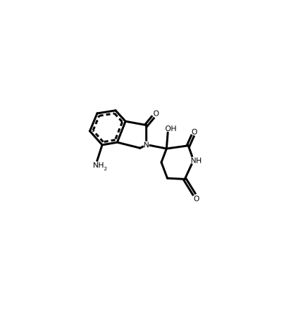 Nc1cccc2c1CN(C1(O)CCC(=O)NC1=O)C2=O